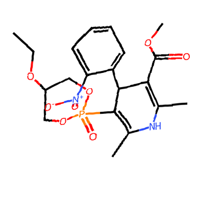 CCOC1COP(=O)(C2=C(C)NC(C)=C(C(=O)OC)C2c2ccccc2[N+](=O)[O-])OC1